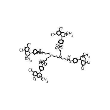 CN1Cc2c(Cl)cc(Cl)cc2C(c2ccc(SNCCCN(CCCCN(CCCNSc3ccc(C4CN(C)Cc5c(Cl)cc(Cl)cc54)cc3)CCCNS(=O)(=O)c3ccc(C4CN(C)Cc5c(Cl)cc(Cl)cc54)cc3)CCCNS(=O)(=O)c3ccc(C4CN(C)Cc5c(Cl)cc(Cl)cc54)cc3)cc2)C1